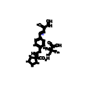 O=C(/C=C/c1ccc(CNC2(C(=O)O)CCCC2)cn1)NO.O=C(O)C(F)(F)F